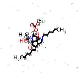 C=CCCCCN1CCC2c3cc(CCC=C)oc3[C@@H]3N(B(C)O)[C@@H](COC(=O)OC(C)(C)C)CC23C1=O